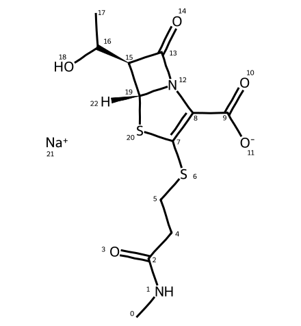 CNC(=O)CCSC1=C(C(=O)[O-])N2C(=O)[C@H](C(C)O)[C@H]2S1.[Na+]